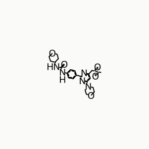 CS(=O)(=O)Cc1cc(N2CCOCC2)nc(-c2ccc(NC(=O)NC3CCOCC3)cc2)n1